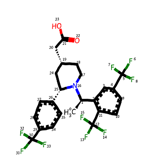 C[C@H](c1cc(C(F)(F)F)ccc1C(F)(F)F)N1CC[C@@H](CC(=O)O)C[C@H]1c1ccc(C(F)(F)F)cc1